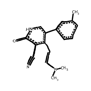 Cc1cccc(-c2c[nH]c(=O)c(C#N)c2C=CN(C)C)c1